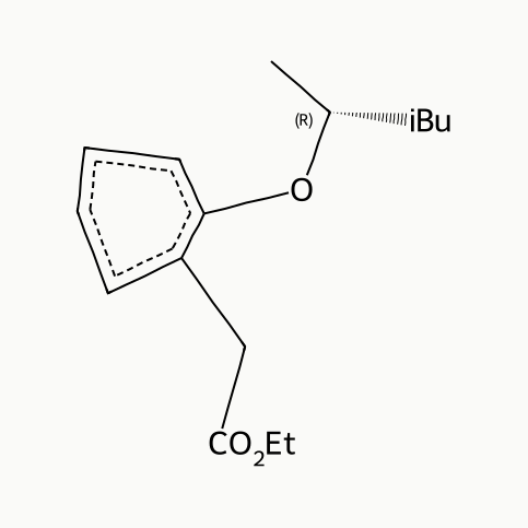 CCOC(=O)Cc1ccccc1O[C@H](C)C(C)CC